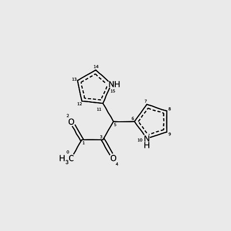 CC(=O)C(=O)C(c1ccc[nH]1)c1ccc[nH]1